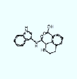 O=C(O)c1cccc2c1C(C(=O)Nc1c[nH]c3ccccc13)NCC2